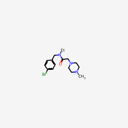 CCN(Cc1ccc(Br)cc1)C(=O)CN1CCN(C)CC1